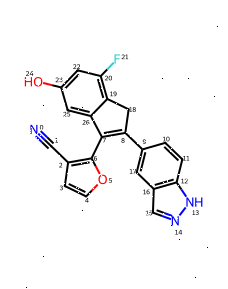 N#Cc1ccoc1C1=C(c2ccc3[nH]ncc3c2)Cc2c(F)cc(O)cc21